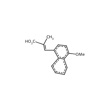 COc1ccc(C=C(C)C(=O)O)c2ccccc12